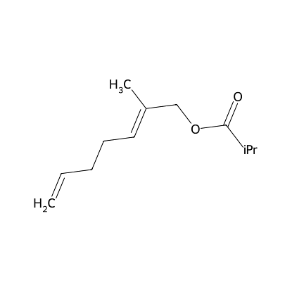 C=CCCC=C(C)COC(=O)C(C)C